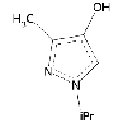 Cc1nn(C(C)C)cc1O